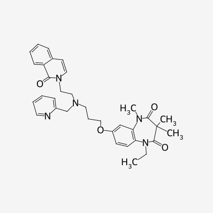 CCN1C(=O)C(C)(C)C(=O)N(C)c2cc(OCCCN(CCn3ccc4ccccc4c3=O)Cc3ccccn3)ccc21